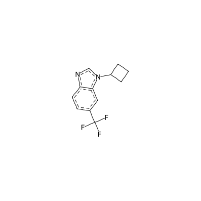 FC(F)(F)c1ccc2ncn(C3CCC3)c2c1